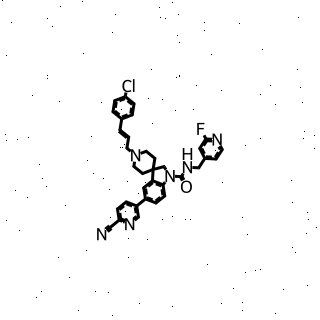 N#Cc1ccc(-c2ccc3c(c2)C2(CCN(CC=Cc4ccc(Cl)cc4)CC2)CN3C(=O)NCc2ccnc(F)c2)cn1